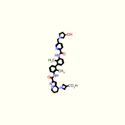 Cc1c(NC(=O)c2ccc(CN3CC[C@@H](O)C3)cn2)cccc1-c1cccc(NC(=O)c2cc3n(n2)CCC[C@H]3N2CC(C(=O)O)C2)c1C